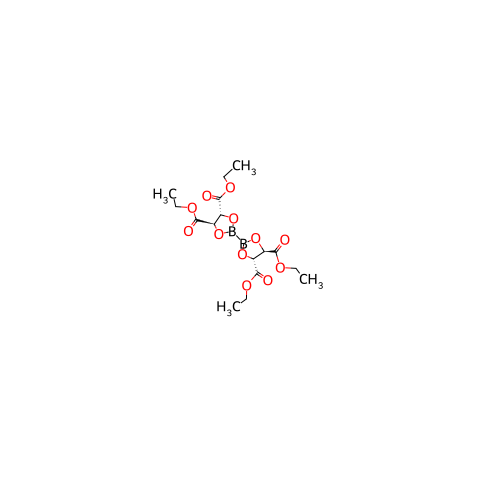 CCOC(=O)[C@@H]1OB(B2O[C@@H](C(=O)OCC)[C@H](C(=O)OCC)O2)O[C@H]1C(=O)OCC